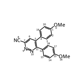 COc1ccc(-c2cc(C#N)nnc2-c2ccc(OC)cc2)cc1